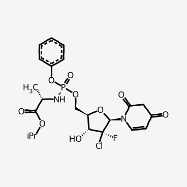 CC(C)OC(=O)[C@H](C)N[P@](=O)(OC[C@H]1O[C@@H](N2C=CC(=O)CC2=O)[C@@](F)(Cl)[C@@H]1O)Oc1ccccc1